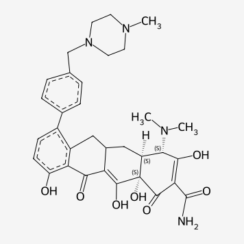 CN1CCN(Cc2ccc(-c3ccc(O)c4c3CC3C[C@H]5[C@H](N(C)C)C(O)=C(C(N)=O)C(=O)[C@@]5(O)C(O)=C3C4=O)cc2)CC1